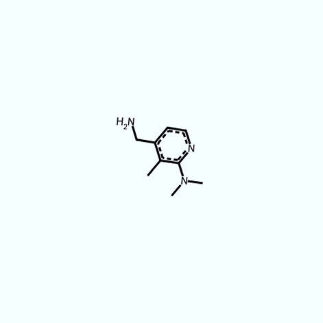 Cc1c(CN)ccnc1N(C)C